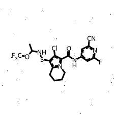 CC(NSc1c(Cl)c(C(=O)Nc2cc(F)nc(C#N)c2)n2c1CCCC2)OC(F)(F)F